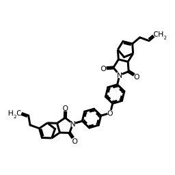 C=CCC1=CC2CC1C1C(=O)N(c3ccc(Oc4ccc(N5C(=O)C6C7C=C(CC=C)C(C7)C6C5=O)cc4)cc3)C(=O)C21